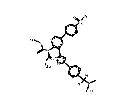 [2H]C([2H])(c1ccc(-c2cc(-c3nc(-c4ccc(S(=O)(=O)C(C)C)cc4)cnc3N(C(=O)OC(C)(C)C)C(=O)OC(C)(C)C)on2)cc1)N(C)C(=O)O